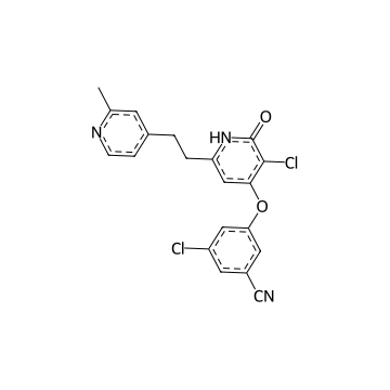 Cc1cc(CCc2cc(Oc3cc(Cl)cc(C#N)c3)c(Cl)c(=O)[nH]2)ccn1